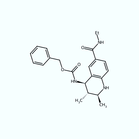 CCNC(=O)c1ccc2c(c1)[C@H](NC(=O)OCc1ccccc1)[C@@H](C)[C@H](C)N2